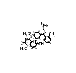 Cc1ccccc1/C(=N/OC(F)F)C1CCC(N(C)c2nc(=O)n(C)c3ccc(C#N)nc23)CC1